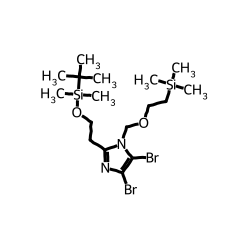 CC(C)(C)[Si](C)(C)OCCc1nc(Br)c(Br)n1COCC[Si](C)(C)C